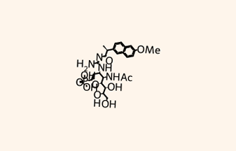 COc1ccc2cc([C@H](C)C(=O)/N=C(/N)N[C@H]3C=C(P(=O)(O)O)O[C@@H]([C@H](O)[C@H](O)CO)[C@@H]3NC(C)=O)ccc2c1